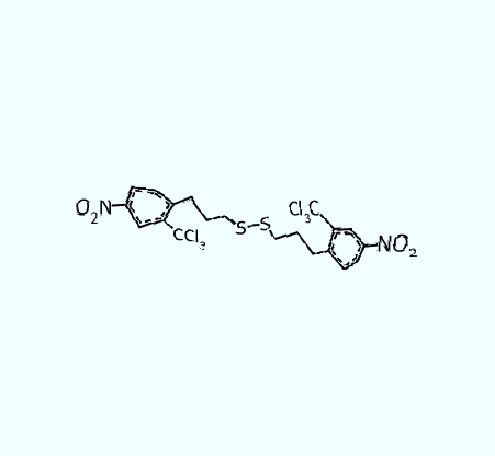 O=[N+]([O-])c1ccc(CCCSSCCCc2ccc([N+](=O)[O-])cc2C(Cl)(Cl)Cl)c(C(Cl)(Cl)Cl)c1